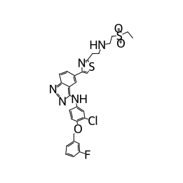 CCS(=O)(=O)CCNCCc1nc(-c2ccc3ncnc(Nc4ccc(OCc5cccc(F)c5)c(Cl)c4)c3c2)cs1